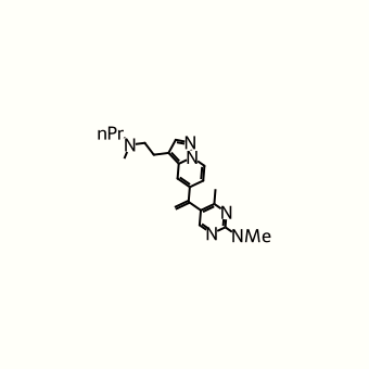 C=C(c1ccn2ncc(CCN(C)CCC)c2c1)c1cnc(NC)nc1C